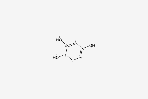 OC1=CCC(O)C(O)=C1